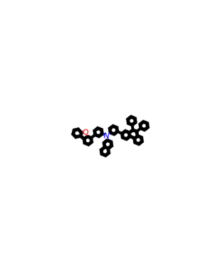 c1ccc(-c2c(-c3ccccc3)c3cc(-c4cccc(N(c5cccc(-c6cccc7c6oc6ccccc67)c5)c5ccc6ccccc6c5)c4)ccc3c3ccccc23)cc1